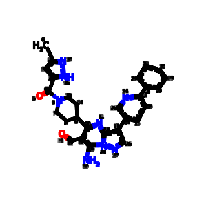 Cc1cc(C(=O)N2CCC(c3nc4c(-c5ccc(-c6ccccc6)nc5)cnn4c(N)c3C=O)CC2)[nH]n1